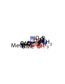 CO[Si](CCC1CCC(NCCSCC(C)(CO)C(=O)NC(C)(C)CS(=O)(=O)O)C(O)C1)(OC)OC